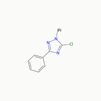 CC(C)n1nc(-c2ccccc2)nc1Cl